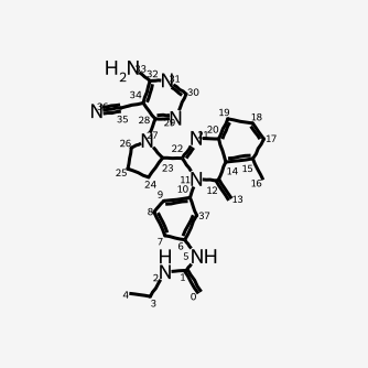 C=C(NCC)Nc1cccc(N2C(=C)c3c(C)cccc3N=C2C2CCCN2c2ncnc(N)c2C#N)c1